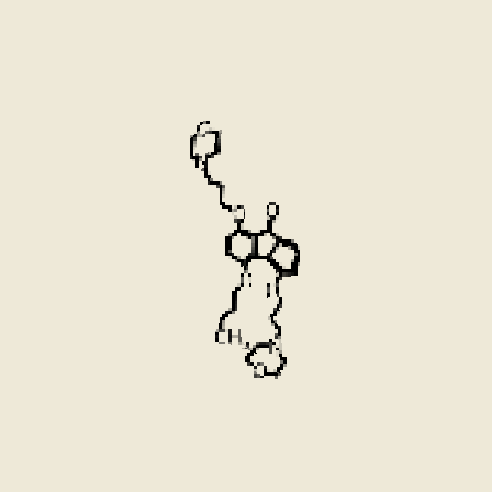 CCCCOc1ccc(OCCCN2CCOCC2)c2c1-c1c(OCCCN3CCOCC3)cccc1C2=O